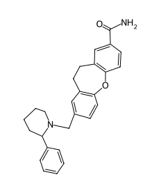 NC(=O)c1ccc2c(c1)CCc1cc(CN3CCCCC3c3ccccc3)ccc1O2